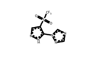 O=S(=O)(c1cn[nH]c1-n1cncn1)C(F)(F)F